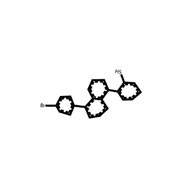 Sc1ccccc1-c1cccc2c(-c3ccc(Br)cc3)cccc12